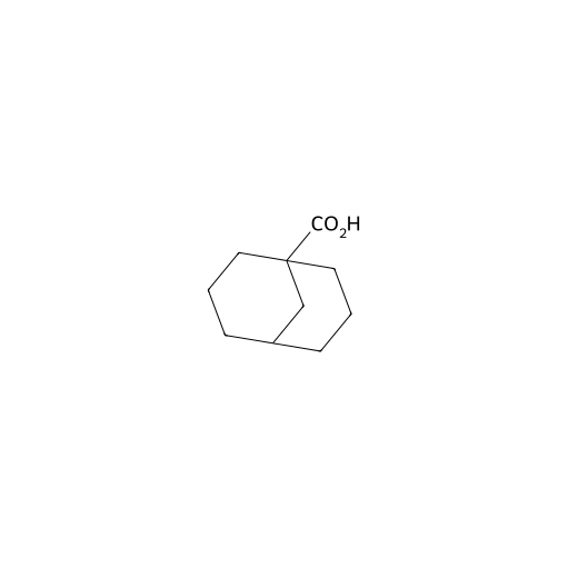 O=C(O)C12CCCC(CCC1)C2